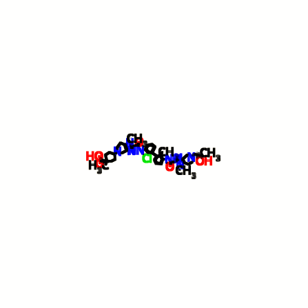 Cc1c(NC(=O)c2nc3c(n2C)CCN(C[C@H](C)O)C3)cccc1-c1cccc(NC(=O)c2nc3c(n2C)CCN(C2CCC(C)(C(=O)O)CC2)C3)c1Cl